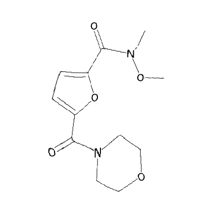 CON(C)C(=O)c1ccc(C(=O)N2CCOCC2)o1